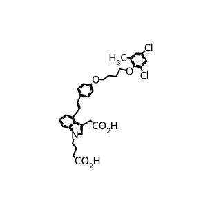 Cc1cc(Cl)cc(Cl)c1OCCCCOc1ccc(C=Cc2cccc3c2c(CC(=O)O)cn3CCCC(=O)O)cc1